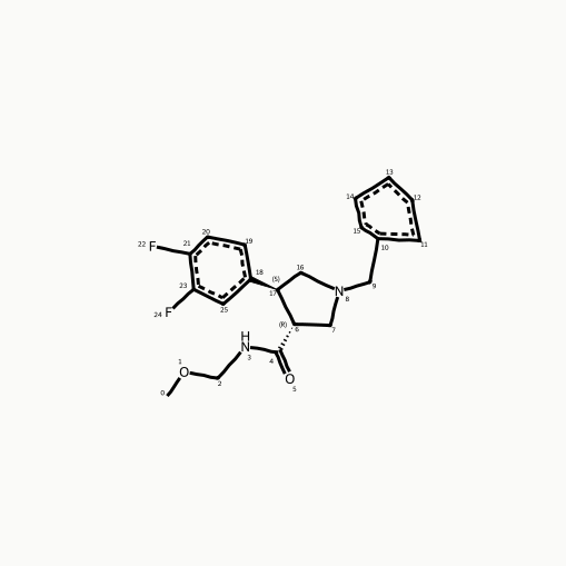 COCNC(=O)[C@H]1CN(Cc2ccccc2)C[C@@H]1c1ccc(F)c(F)c1